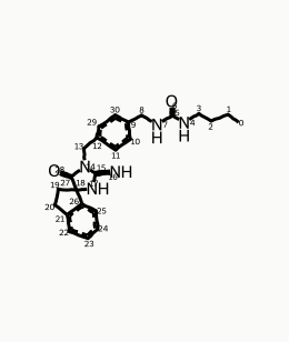 CCCCNC(=O)NCc1ccc(CN2C(=N)NC3(CCc4ccccc43)C2=O)cc1